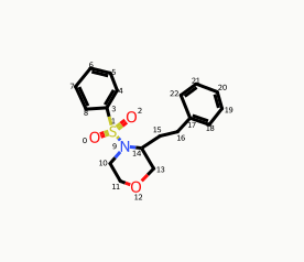 O=S(=O)(c1ccccc1)N1CCOCC1CCc1ccccc1